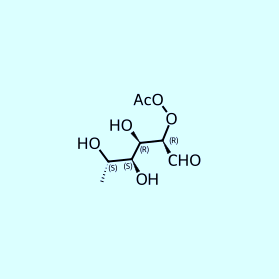 CC(=O)OO[C@@H](C=O)[C@H](O)[C@@H](O)[C@H](C)O